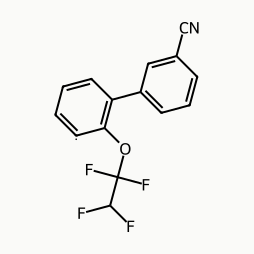 N#Cc1cccc(-c2ccc[c]c2OC(F)(F)C(F)F)c1